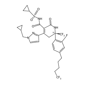 O=C1N[C@@](c2ccc(CCCCC(F)(F)F)cc2F)(C(F)(F)F)CC(c2ccn(CC3CC3)n2)=C1C(=O)NS(=O)(=O)C1CC1